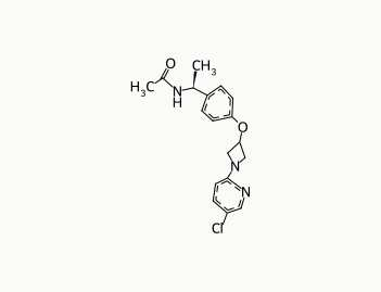 CC(=O)N[C@@H](C)c1ccc(OC2CN(c3ccc(Cl)cn3)C2)cc1